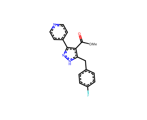 COC(=O)c1c(-c2ccncc2)n[nH]c1Cc1ccc(F)cc1